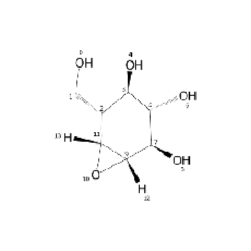 OC[C@@H]1[C@@H](O)[C@H](O)[C@@H](O)[C@@H]2O[C@H]12